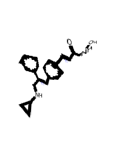 O=C(/C=C/c1ccc(/C=C(/CNC2CC2)c2ccccc2)cc1)NO